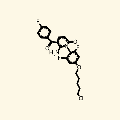 Nc1c(C(=O)c2ccc(F)cc2)ccc(=O)n1-c1c(F)cc(OCCCCCCl)cc1F